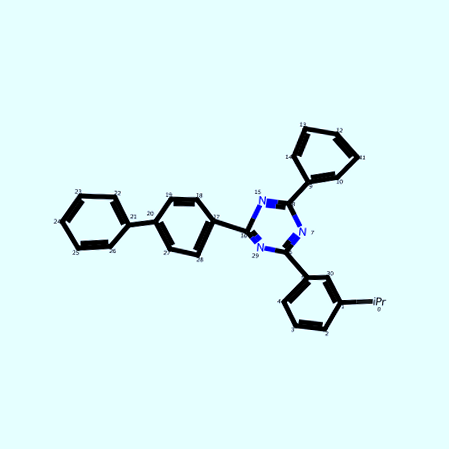 CC(C)c1cccc(-c2nc(-c3ccccc3)nc(-c3ccc(-c4ccccc4)cc3)n2)c1